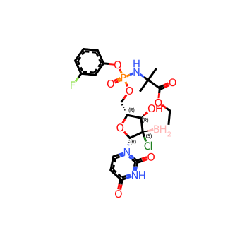 B[C@]1(Cl)[C@H](O)[C@@H](COP(=O)(NC(C)(C)C(=O)OCC)Oc2cccc(F)c2)O[C@H]1n1ccc(=O)[nH]c1=O